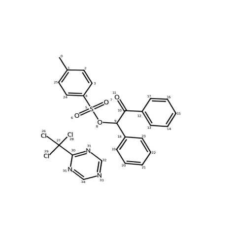 Cc1ccc(S(=O)(=O)OC(C(=O)c2ccccc2)c2ccccc2)cc1.ClC(Cl)(Cl)c1ncncn1